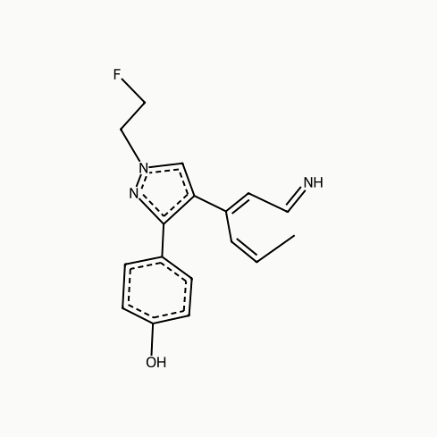 C/C=C\C(=C/C=N)c1cn(CCF)nc1-c1ccc(O)cc1